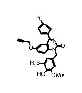 Bc1cc(Cn2c(=O)nc(-c3ccc(C(C)C)cc3)c3cc(OCC#C)ccc32)cc(OC)c1O